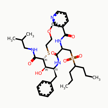 CCCC(CCC)S(=O)(=O)CC(NC(=O)c1cccnc1)C(=O)N[C@@H](Cc1ccccc1)[C@@H](O)[C@@H](SCCOC)C(=O)NCC(C)C